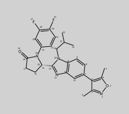 Cc1noc(C)c1-c1ccc2c(c1)nc([C@@H]1CCC(=O)N1c1ccc(F)c(F)c1)n2CC(C)C